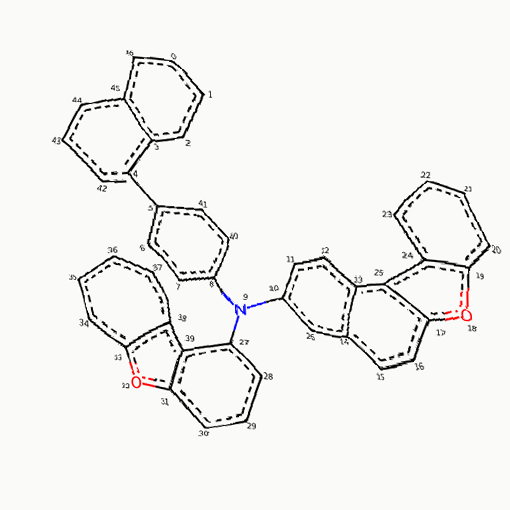 c1ccc2c(-c3ccc(N(c4ccc5c(ccc6oc7ccccc7c65)c4)c4cccc5oc6ccccc6c45)cc3)cccc2c1